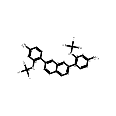 Nc1ccc(-c2ccc3ccc(-c4ccc(N)cc4OC(F)(F)F)cc3c2)c(OC(F)(F)F)c1